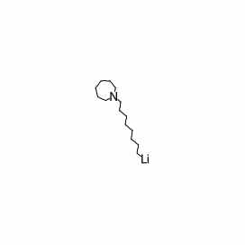 [Li][CH2]CCCCCCCN1CCCCCC1